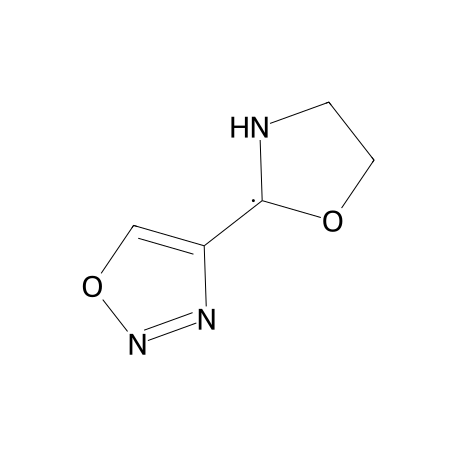 c1onnc1[C]1NCCO1